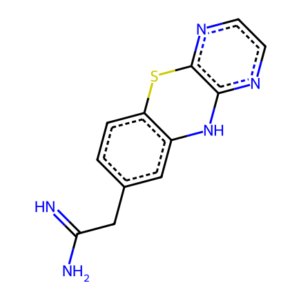 N=C(N)Cc1ccc2c(c1)Nc1nccnc1S2